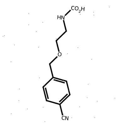 N#Cc1ccc(COCCNC(=O)O)cc1